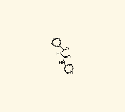 O=C(NC(=O)c1ccccc1)Nc1ccncc1